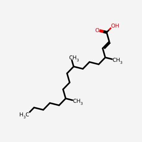 CCCCCC(C)CCCC(C)CCCC(C)C=CC(=O)O